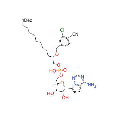 CCCCCCCCCCCCCCCCCCC[C@H](COP(=O)(O)OC[C@@]1(C)O[C@@H](c2ccc3c(N)ncnn23)[C@H](O)[C@@H]1O)OCc1ccc(C#N)c(Cl)c1